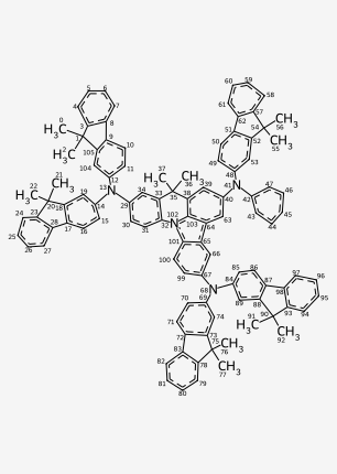 CC1(C)c2ccccc2-c2ccc(N(c3ccc4c(c3)C(C)(C)c3ccccc3-4)c3ccc4c(c3)C(C)(C)c3cc(N(c5ccccc5)c5ccc6c(c5)C(C)(C)c5ccccc5-6)cc5c6cc(N(c7ccc8c(c7)C(C)(C)c7ccccc7-8)c7ccc8c(c7)C(C)(C)c7ccccc7-8)ccc6n-4c35)cc21